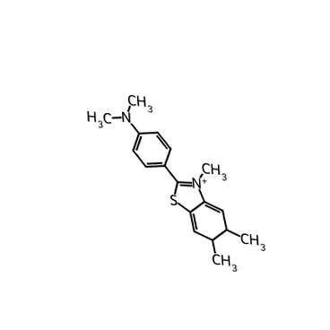 CC1C=c2sc(-c3ccc(N(C)C)cc3)[n+](C)c2=CC1C